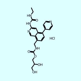 CCNC(=O)Nc1cc2c(-c3ccncc3)ccc(CNC(=O)OCC(O)CO)c2cn1.Cl